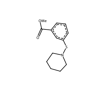 COC(=O)c1cccc(SN2CCCCC2)c1